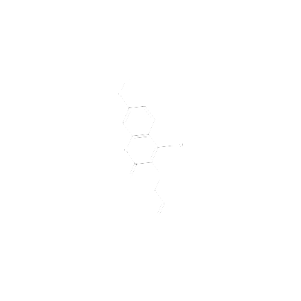 C=CCOc1c(OC)c2ccc(NCC)cc2[nH]c1=O